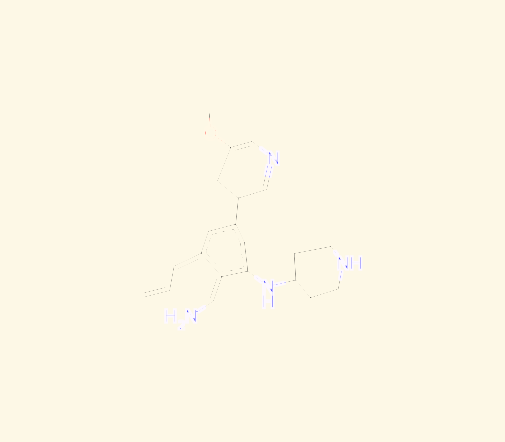 C=C/C=c1/cc(C2C=NC=C(OC)C2)cc(NC2CCNCC2)/c1=C/N